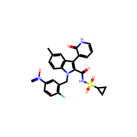 C=[N+]([O-])c1ccc(F)c(Cn2c(C(=O)NS(=O)(=O)C3CC3)c(-c3ccc[nH]c3=O)c3cc(C)ccc32)c1